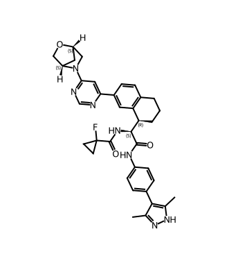 Cc1n[nH]c(C)c1-c1ccc(NC(=O)[C@@H](NC(=O)C2(F)CC2)[C@@H]2CCCc3ccc(-c4cc(N5C[C@@H]6C[C@H]5CO6)ncn4)cc32)cc1